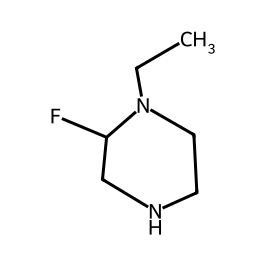 CCN1CCNCC1F